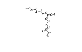 C=COCOCCOP(O)OCCOC(=O)C=C